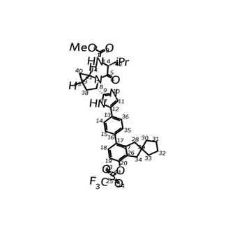 COC(=O)N[C@H](C(=O)N1[C@H](c2ncc(-c3ccc(-c4ccc(OS(=O)(=O)C(F)(F)F)c5c4CC4(CCCC4)C5)cc3)[nH]2)C[C@@H]2C[C@@H]21)C(C)C